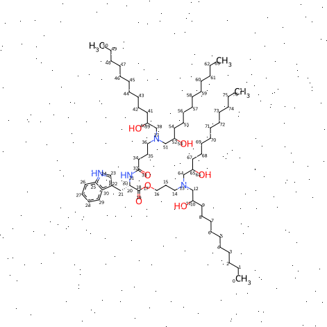 CCCCCCCCCCC(O)CN(CCCOC(=O)[C@H](Cc1c[nH]c2ccccc12)NC(=O)CCCN(CC(O)CCCCCCCCCC)CC(O)CCCCCCCCCC)CC(O)CCCCCCCCCC